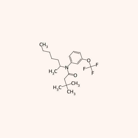 CCCCCC(C)N(C(=O)CC(C)(C)C)c1cccc(OC(F)(F)F)c1